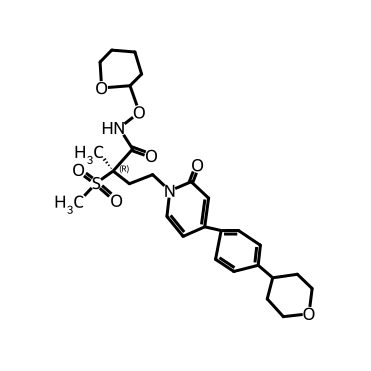 C[C@@](CCn1ccc(-c2ccc(C3CCOCC3)cc2)cc1=O)(C(=O)NOC1CCCCO1)S(C)(=O)=O